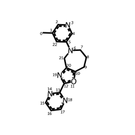 Cc1cncc(N2CCCc3oc(-c4ncccn4)nc3C2)c1